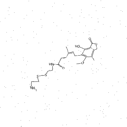 COc1c(C)c2c(c(O)c1CC=C(C)CCC(=O)NCCSSCCN)C(=O)OC2